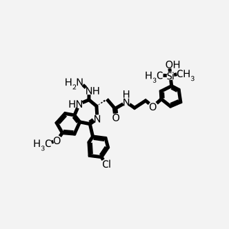 COc1ccc2c(c1)C(c1ccc(Cl)cc1)=N[C@@H](CC(=O)NCCOc1cccc([Si](C)(C)O)c1)C(NN)N2